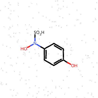 O=S(=O)(O)N(O)c1ccc(O)cc1